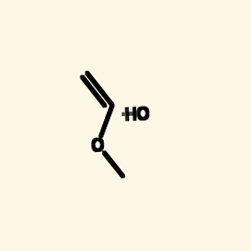 C=COC.[OH]